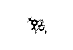 CC[C@@H]1CN(NC(C)c2cc(N)cc(C(F)(F)F)c2)C=C(C)O1